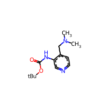 CN(C)Cc1ccncc1NC(=O)OC(C)(C)C